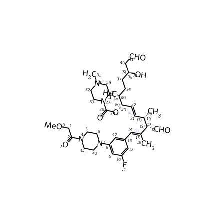 COCC(=O)N1CCN(c2cc(F)cc(/C=C(\C)[C@@H](C=O)[C@@H](C)/C=C/[C@H](OC(=O)N3CCN(C)CC3)[C@H](C)CC[C@H](O)CC=O)c2)CC1